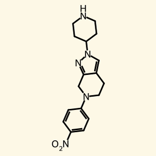 O=[N+]([O-])c1ccc(N2CCc3cn(C4CCNCC4)nc3C2)cc1